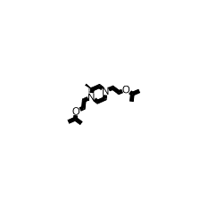 CC(C)OCCN1CCN(CCOC(C)C)[C@@H](C)C1